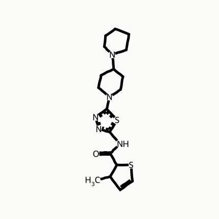 CC1C=CSC1C(=O)Nc1nnc(N2CCC(N3CCCCC3)CC2)s1